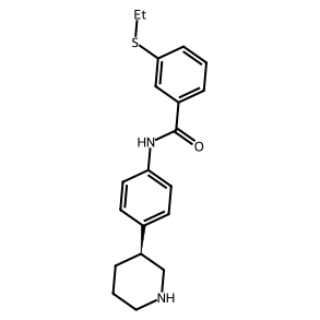 CCSc1cccc(C(=O)Nc2ccc([C@@H]3CCCNC3)cc2)c1